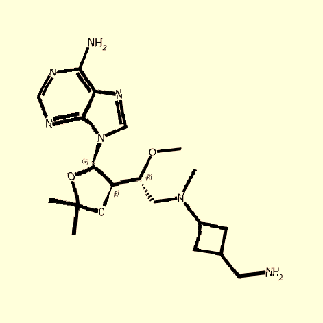 CO[C@H](CN(C)C1CC(CN)C1)[C@H]1OC(C)(C)O[C@H]1n1cnc2c(N)ncnc21